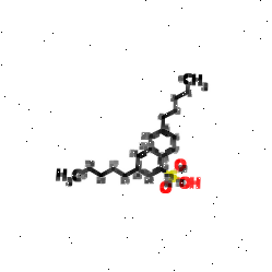 CCCCCc1ccc2c(S(=O)(=O)O)cc(CCCCC)cc2c1